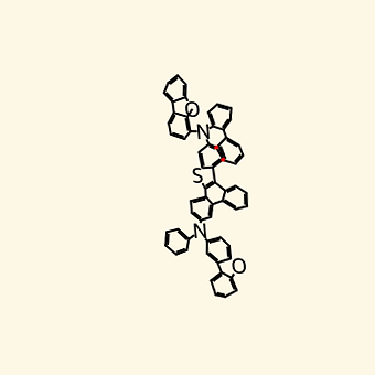 c1ccc(-c2ccccc2N(c2ccc3c(c2)sc2c4ccc(N(c5ccccc5)c5ccc6oc7ccccc7c6c5)cc4c4ccccc4c32)c2cccc3c2oc2ccccc23)cc1